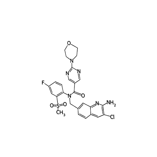 CS(=O)(=O)c1cc(F)ccc1N(Cc1ccc2cc(Cl)c(N)nc2c1)C(=O)c1cnc(N2CCOCC2)nc1